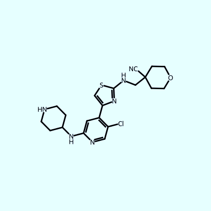 N#CC1(CNc2nc(-c3cc(NC4CCNCC4)ncc3Cl)cs2)CCOCC1